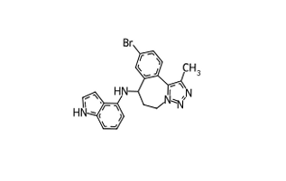 Cc1nnn2c1-c1ccc(Br)cc1C(Nc1cccc3[nH]ccc13)CC2